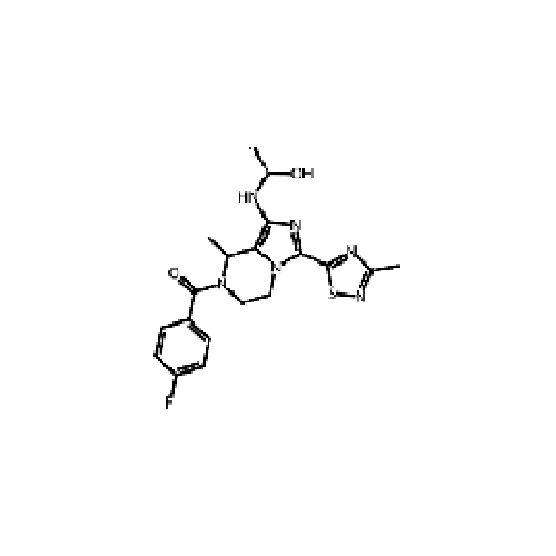 [CH2][C@@H](O)Nc1nc(-c2nc(C)ns2)n2c1C(C)N(C(=O)c1ccc(F)cc1)CC2